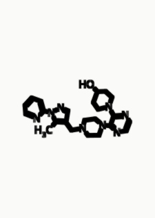 Cc1c(CN2CCN(c3nccnc3N3CCC(O)CC3)CC2)cnn1-c1ccccn1